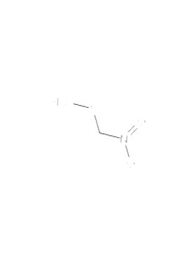 CSC[N+](=O)[O-]